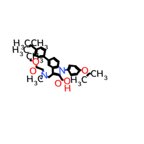 CCOC(=O)CN(C)Cc1c(C(=O)O)n(-c2ccc(OC(C)C)cc2)c2ccc(-c3ccc(C(C)(C)C)cc3)cc12